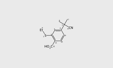 CCSc1cc(C(C)(C)C#N)ccc1C(=O)O